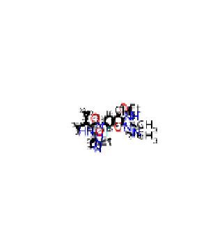 CCC(=O)N[C@@H](C(=O)N1CCN(C)[C@@H](C)C1)[C@@H](C)c1ccc(NC(=O)[C@@H](NC(=O)c2ccnn2CC)C(C2CC2)C2CC2)c(F)c1